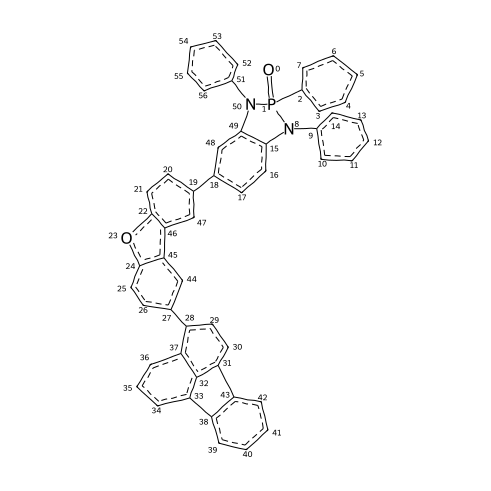 O=P1(c2ccccc2)N(c2ccccc2)c2ccc(-c3ccc4oc5ccc(-c6ccc7c8c(cccc68)-c6ccccc6-7)cc5c4c3)cc2N1c1ccccc1